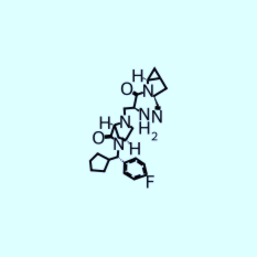 N#C[C@@H]1CC2C[C@@H]2N1C(=O)[C@@H](N)CN1C[C@@H]2C[C@H]1C(=O)N2[C@H](c1ccc(F)cc1)C1CCCC1